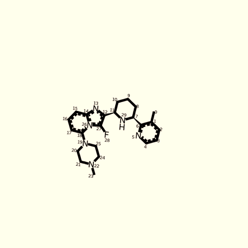 Cc1cccnc1[C@@H]1CCC[C@H](c2nc3cccc(N4CCN(C)CC4)n3c2F)N1